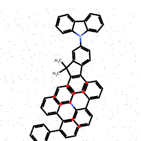 CC1(C)c2cc(N(c3ccccc3-c3ccccc3-c3ccccc3)c3ccccc3-c3ccccc3-c3ccccc3)ccc2-c2ccc(-n3c4ccccc4c4ccccc43)cc21